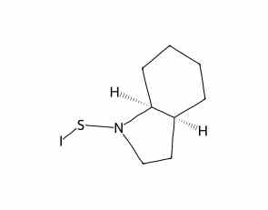 ISN1CC[C@@H]2CCCC[C@@H]21